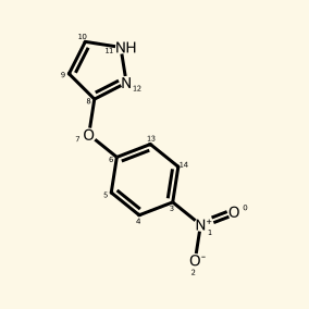 O=[N+]([O-])c1ccc(Oc2cc[nH]n2)cc1